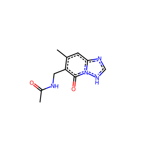 CC(=O)NCc1c(C)cc2nc[nH]n2c1=O